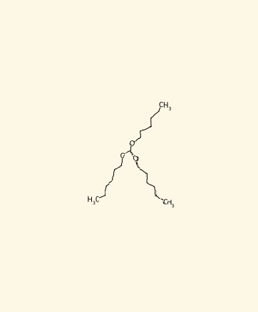 CCCCCCOC(OCCCCCC)OCCCCCC